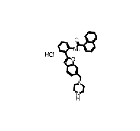 Cl.O=C(Nc1ccccc1-c1cc2ccc(CN3CCNCC3)cc2o1)c1cccc2ccccc12